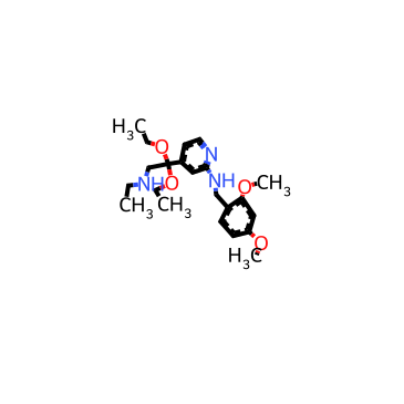 CCNCC(OCC)(OCC)c1ccnc(NCc2ccc(OC)cc2OC)c1